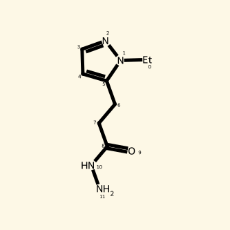 CCn1nccc1CCC(=O)NN